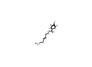 CC/C=C/CCOC(=O)c1ccccc1